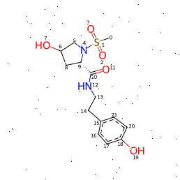 CS(=O)(=O)N1CC(O)C[C@H]1C(=O)NCCc1ccc(O)cc1